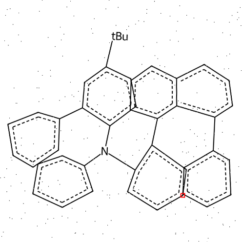 CC(C)(C)c1ccc(N(c2ccccc2)c2ccccc2-c2cccc3cccc(-c4ccccc4)c23)c(-c2ccccc2)c1